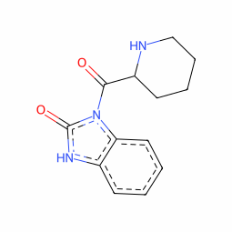 O=C(C1CCCCN1)n1c(=O)[nH]c2ccccc21